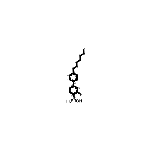 CCCCCCCc1ccc(-c2ccc(B(O)O)c(F)c2)cc1